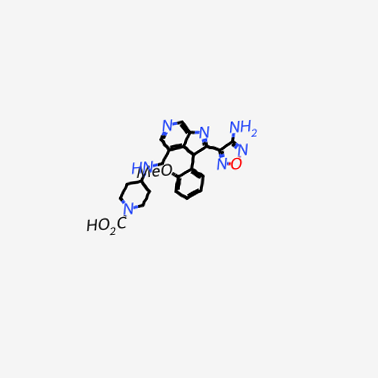 COc1ccccc1C1C(c2nonc2N)=Nc2cncc(CNC3CCN(C(=O)O)CC3)c21